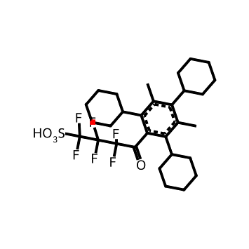 Cc1c(C2CCCCC2)c(C)c(C2CCCCC2)c(C(=O)C(F)(F)C(F)(F)C(F)(F)S(=O)(=O)O)c1C1CCCCC1